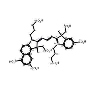 CC1(CS(=O)(=O)O)C(/C=C/C=C2/N(CCCS(=O)(=O)O)c3ccc4c(S(=O)(=O)O)cc(S(=O)(=O)O)cc4c3C2(C)CS(=O)(=O)O)=[N+](CCCS(=O)(=O)O)c2ccc(C(=O)O)cc21